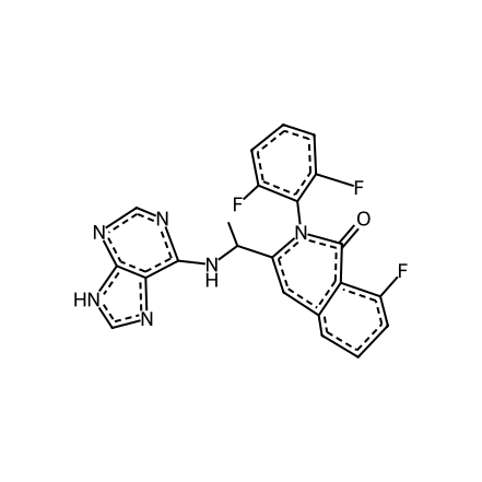 CC(Nc1ncnc2[nH]cnc12)c1cc2cccc(F)c2c(=O)n1-c1c(F)cccc1F